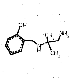 CC(C)(CN)NCc1ccccc1O